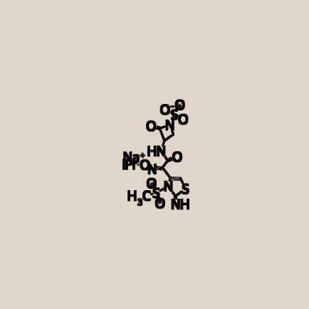 CC(C)ON=C(C(=O)NC1CN(S(=O)(=O)[O-])C1=O)c1csc(=N)n1S(C)(=O)=O.[Na+]